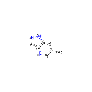 CC(=O)c1cnc2cn[nH]c2c1